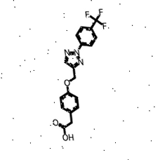 O=C(O)Cc1ccc(OCc2cnn(-c3ccc(C(F)(F)F)cc3)n2)cc1